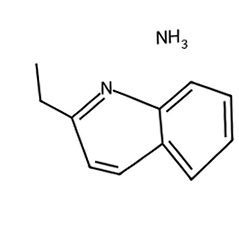 CCc1ccc2ccccc2n1.N